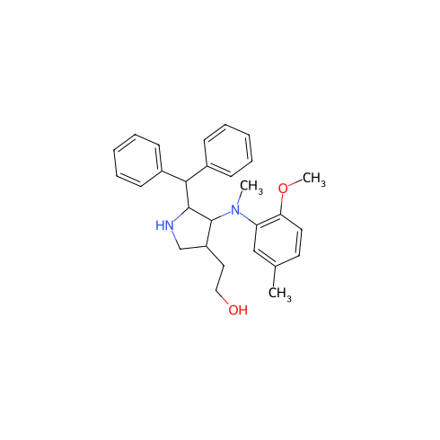 COc1ccc(C)cc1N(C)C1C(CCO)CNC1C(c1ccccc1)c1ccccc1